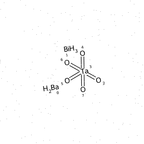 [BaH2].[BiH3].[O]=[Ta](=[O])(=[O])(=[O])=[O]